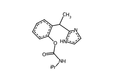 CC(C)NC(=O)Oc1ccccc1C(C)c1ncc[nH]1